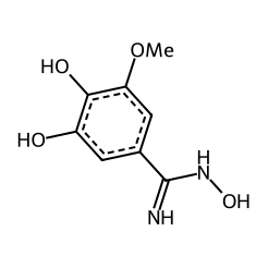 COc1cc(C(=N)NO)cc(O)c1O